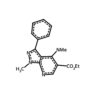 CCOC(=O)c1cnc2c(c(-c3ccccc3)nn2C)c1NC